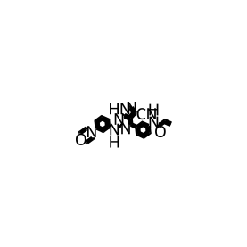 C=CC(=O)Nc1cccc(-c2nc(Nc3cccc(N4CCOCC4)c3)nc3[nH]nc(C#N)c23)c1